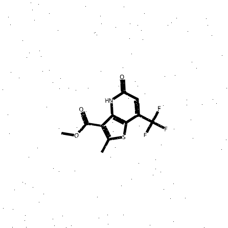 COC(=O)c1c(C)sc2c(C(F)(F)F)cc(=O)[nH]c12